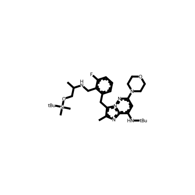 Cc1nc2c(NC(C)(C)C)cc(N3CCOCC3)nn2c1Cc1cccc(F)c1CNC(C)CO[Si](C)(C)C(C)(C)C